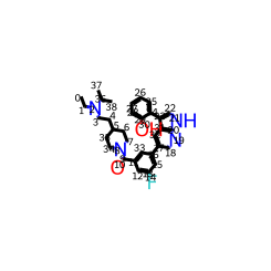 CCN(CCC1CCN(C(=O)c2cc(F)cc(-c3cnc4[nH]cc(-c5ccccc5O)c4c3)c2)CC1)C(C)C